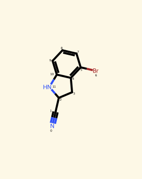 N#CC1Cc2c(Br)cccc2N1